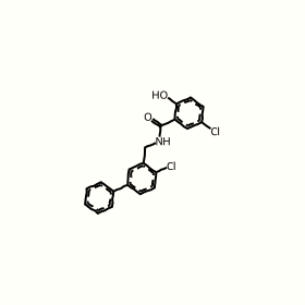 O=C(NCc1cc(-c2ccccc2)ccc1Cl)c1cc(Cl)ccc1O